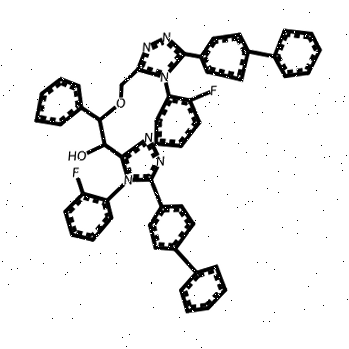 OC(c1nnc(-c2ccc(-c3ccccc3)cc2)n1-c1ccccc1F)C(OCc1nnc(-c2ccc(-c3ccccc3)cc2)n1-c1ccccc1F)c1ccccc1